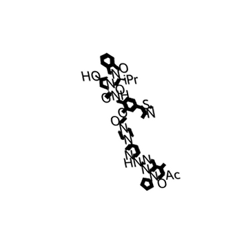 CC(=O)c1c(C)c2cnc(Nc3ccc(N4CCN(C(=O)COc5cc(-c6scnc6C)ccc5CNC(=O)[C@@H]5C[C@@H](O)CN5C(=O)[C@H](C(C)C)N5Cc6ccccc6C5=O)CC4)cn3)nc2n(C2CCCC2)c1=O